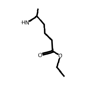 CCOC(=O)CCCC(C)[NH]